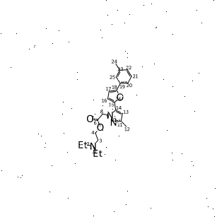 CCN(CC)CCOC(=O)Cn1nc(C)cc1-c1ccc(-c2cccc(C)c2)o1